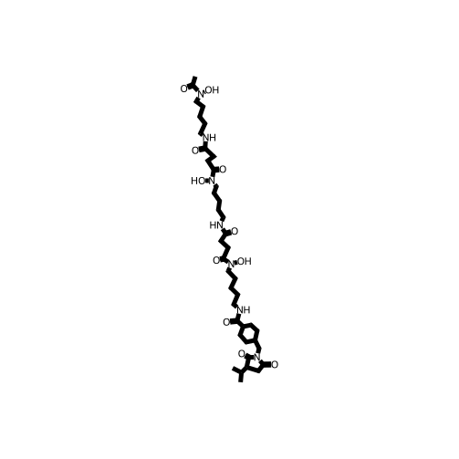 CC(=O)N(O)CCCCCNC(=O)CCC(=O)N(O)CCCCCNC(=O)CCC(=O)N(O)CCCCCNC(=O)C1CCC(CN2C(=O)CC(C(C)C)C2=O)CC1